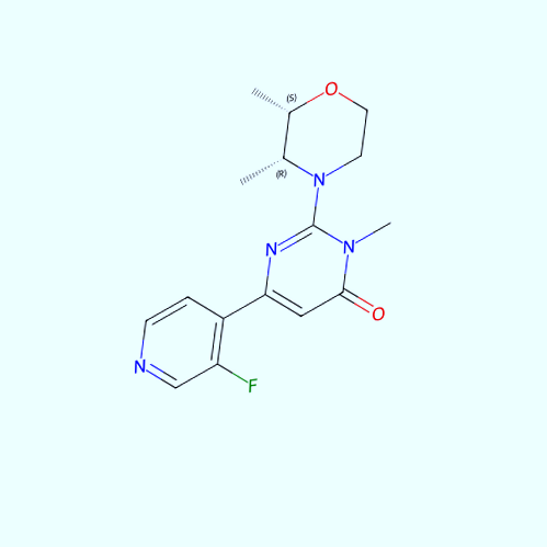 C[C@@H]1OCCN(c2nc(-c3ccncc3F)cc(=O)n2C)[C@@H]1C